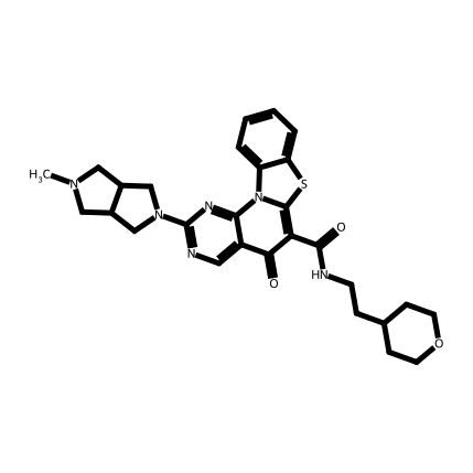 CN1CC2CN(c3ncc4c(=O)c(C(=O)NCCC5CCOCC5)c5sc6ccccc6n5c4n3)CC2C1